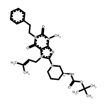 CC(C)=CCn1c(N2CCC[C@H](NC(=O)OC(C)(C)C)C2)nc2c1c(=O)n(CCc1ccccc1)c(=O)n2C